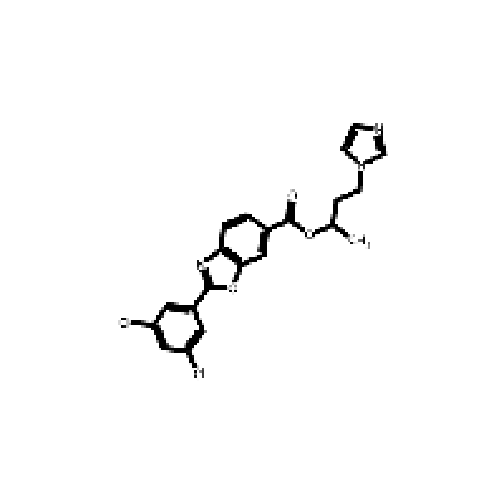 CC(CCn1ccnc1)OC(=O)c1ccc2nc(-c3cc(Cl)cc(Cl)c3)oc2c1